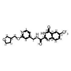 O=C(NCc1ccnc(OCC2CCOC2)c1)c1nc2ccc(C(F)(F)F)cc2c(=O)[nH]1